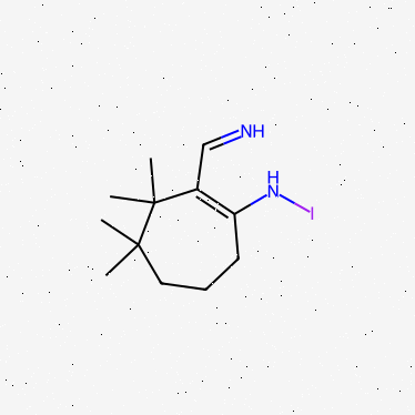 CC1(C)CCCC(NI)=C(C=N)C1(C)C